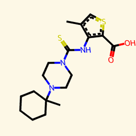 Cc1csc(C(=O)O)c1NC(=S)N1CCN(C2(C)CCCCC2)CC1